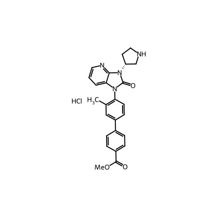 COC(=O)c1ccc(-c2ccc(-n3c(=O)n([C@@H]4CCNC4)c4ncccc43)c(C)c2)cc1.Cl